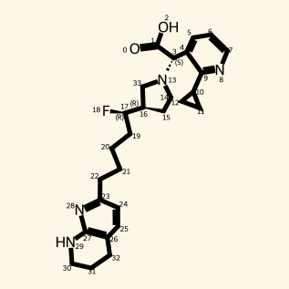 O=C(O)[C@H](c1cccnc1C1CC1)N1CC[C@@H]([C@H](F)CCCCc2ccc3c(n2)NCCC3)C1